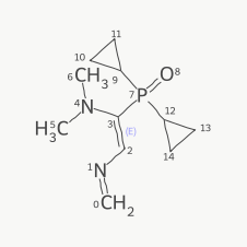 C=N/C=C(\N(C)C)P(=O)(C1CC1)C1CC1